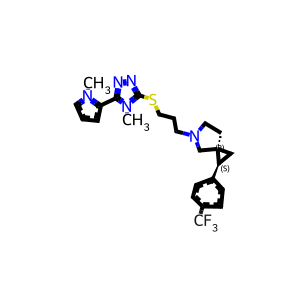 Cn1cccc1-c1nnc(SCCCN2CC[C@@]3(C[C@H]3c3ccc(C(F)(F)F)cc3)C2)n1C